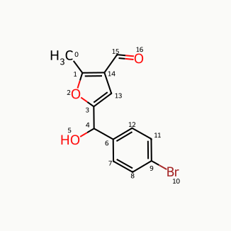 Cc1oc(C(O)c2ccc(Br)cc2)cc1C=O